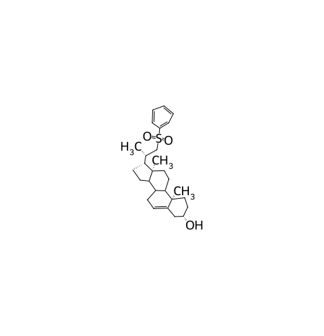 C[C@H](CS(=O)(=O)c1ccccc1)[C@H]1CCC2C3CC=C4C[C@@H](O)CC[C@]4(C)C3CC[C@@]21C